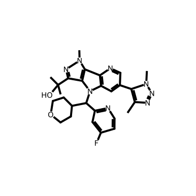 Cc1nnn(C)c1-c1cnc2c3c(c(C(C)(C)O)nn3C)n(C(c3cc(F)ccn3)C3CCOCC3)c2c1